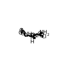 COC1=CC[C@@H]([C@@H](N)/C=C\C#C/C=C/C(=O)N[C@H](C(=O)N/C=C\C[C@H](C/C=C(\C)Cl)OC(N)=O)C(C)(C)C)OC1=O